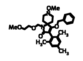 COCCOCN1C(=O)C(c2c(C)cc(C)cc2C)=C(OCc2ccccc2)C12CCN(OC)CC2